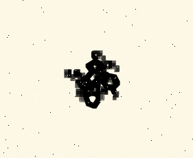 Cn1nc(C(F)(F)F)cc1-c1c2c(nn1C)[C@@H]1CCC[C@H](C2)N1C(=O)c1nn(C)c2ccc(F)cc12